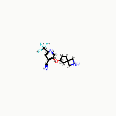 N#Cc1cc(C(F)(F)F)ncc1O[C@H]1CCC2(CNC2)C1